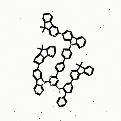 CC1(C)c2ccccc2-c2cc(-c3ccc(-c4ccccc4)c(Nc4cc(-c5ccc(-c6ccc(-n7c8ccccc8c8ccc(-c9ccc%10c(c9)-c9ccccc9C%10(C)C)cc87)cc6)cc5)nc(-n5c6ccccc6c6ccc(-c7ccc8c(c7)-c7ccccc7C8(C)C)cc65)n4)c3)ccc21